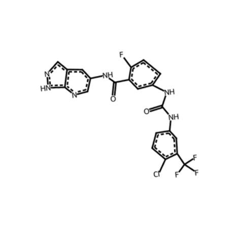 O=C(Nc1ccc(F)c(C(=O)Nc2cnc3[nH]ncc3c2)c1)Nc1ccc(Cl)c(C(F)(F)F)c1